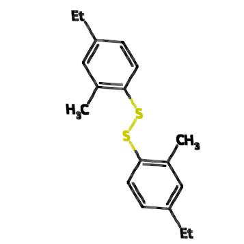 CCc1ccc(SSc2ccc(CC)cc2C)c(C)c1